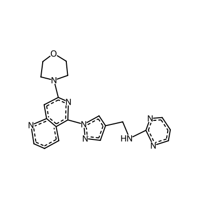 c1cnc(NCc2cnn(-c3nc(N4CCOCC4)cc4ncccc34)c2)nc1